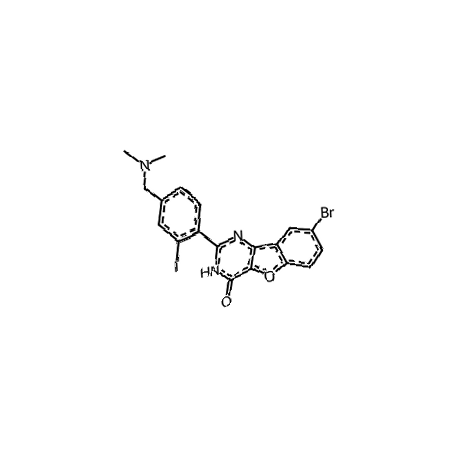 CN(C)Cc1ccc(-c2nc3c(oc4ccc(Br)cc43)c(=O)[nH]2)c(I)c1